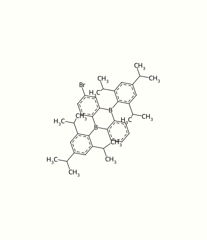 CC(C)c1cc(C(C)C)c(B2c3ccccc3B(c3c(C(C)C)cc(C(C)C)cc3C(C)C)c3cc(Br)ccc32)c(C(C)C)c1